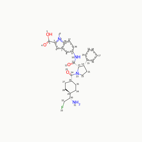 Cn1c(C(=O)O)cc2cc(NC(=O)[C@@H]3[C@H](c4ccccc4)CCN3C(=O)[C@H]3CC[C@H]([C@H](N)CF)CC3)ccc21